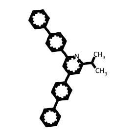 CC(C)c1cc(-c2ccc(-c3ccccc3)cc2)cc(-c2ccc(-c3ccccc3)cc2)n1